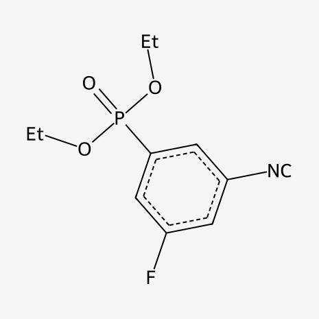 [C-]#[N+]c1cc(F)cc(P(=O)(OCC)OCC)c1